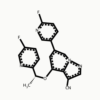 C[C@@H](Oc1cc(-c2ccc(F)nc2)cn2ncc(C#N)c12)c1ccc(F)cn1